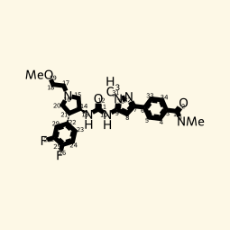 CNC(=O)c1ccc(-c2cc(NC(=O)N[C@@H]3CN(CCOC)C[C@H]3c3ccc(F)c(F)c3)n(C)n2)cc1